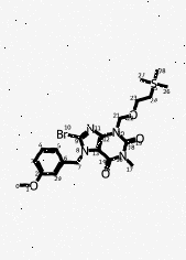 COc1cccc(Cn2c(Br)nc3c2c(=O)n(C)c(=O)n3COCCS(C)(C)C)c1